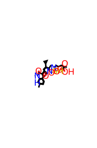 CNC(=O)c1c(-c2ccc(C)cc2)oc2nc(CN(CCCC(C)(OC)C(=O)O)[SH](=O)=O)c(C3CC3)cc12